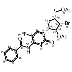 CC(=O)OC[C@H]1O[C@@H](n2cc(F)c(NC(=O)c3ccccc3)nc2=O)[C@H](OC(C)=O)[C@H]1Br